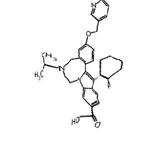 CC(C)N1CCn2c(c([C@@H]3CCCC[C@H]3F)c3ccc(C(=O)O)cc32)-c2ccc(OCc3cccnc3)cc2C1